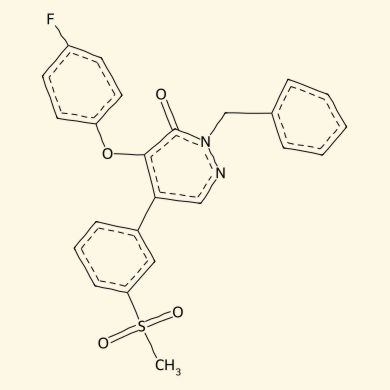 CS(=O)(=O)c1cccc(-c2cnn(Cc3ccccc3)c(=O)c2Oc2ccc(F)cc2)c1